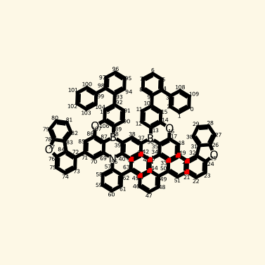 c1ccc(-c2ccccc2-c2ccc3c(c2)Oc2cc(-c4cccc5oc6ccccc6c45)cc4c2B3c2cc3c(cc2N4c2ccccc2-c2ccccc2)N(c2ccccc2-c2ccccc2)c2cc(-c4cccc5oc6ccccc6c45)cc4c2B3c2ccc(-c3ccccc3-c3ccccc3)cc2O4)cc1